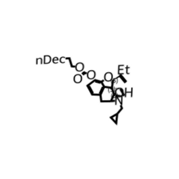 C=C(CC)[C@@H]1Oc2c(OC(=O)OCCCCCCCCCCCC)ccc3c2[C@@]12CCN(CC1CC1)C(C3)[C@@]2(C)O